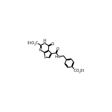 CCOC(=O)c1ccc(CNC(=O)c2csc3nc(C(=O)OCC)[nH]c(=O)c23)cc1